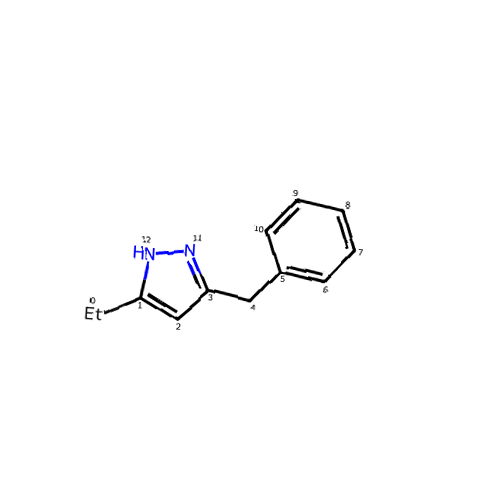 [CH2]Cc1cc(Cc2ccccc2)n[nH]1